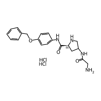 Cl.Cl.NCC(=O)NC1CN[C@H](C(=O)Nc2ccc(OCc3ccccc3)cc2)C1